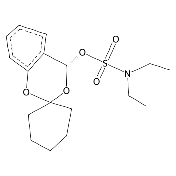 CCN(CC)S(=O)(=O)O[C@@H]1OC2(CCCCC2)Oc2ccccc21